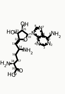 Nc1ncnc2c1ncn2[C@@H]1O/C(=C\C(N)CC[C@H](N)C(=O)O)[C@@H](O)[C@H]1O